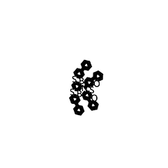 c1ccc(-c2ccc3c(c2)B2c4cc5c(oc6ccccc65)c5c4N4c6c2c(cc2c6B(c6cc(-c7ccccc7)ccc6S2)c2cc6c(oc7ccccc76)c(c24)S5)S3)cc1